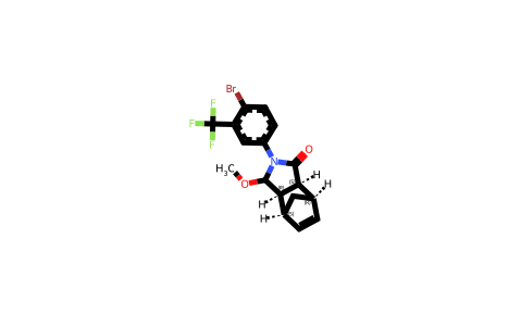 COC1[C@H]2[C@@H](C(=O)N1c1ccc(Br)c(C(F)(F)F)c1)[C@H]1C=C[C@@H]2C1